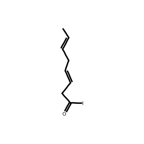 C/C=C/C/C=C/CC(=O)I